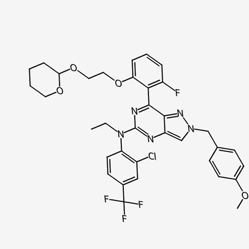 CCN(c1nc(-c2c(F)cccc2OCCOC2CCCCO2)c2nn(Cc3ccc(OC)cc3)cc2n1)c1ccc(C(F)(F)F)cc1Cl